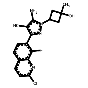 CC1(O)CC(n2nc(-c3ccc4ccc(Cl)nc4c3F)c(C#N)c2N)C1